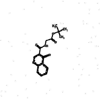 CC(C)(C)OC(=O)CNC(=O)c1cnc2ccccn2c1=O